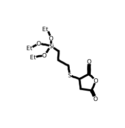 CCO[Si](CCCSC1CC(=O)OC1=O)(OCC)OCC